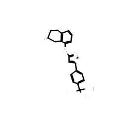 CC(C)(C)c1ccc(-c2cc(Nc3cccc4c3C[C@@H](O)CC4)no2)cc1